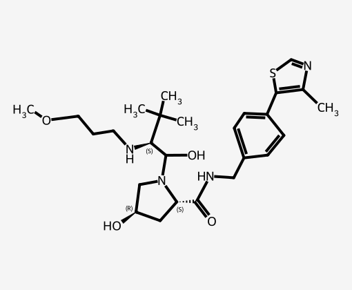 COCCCN[C@H](C(O)N1C[C@H](O)C[C@H]1C(=O)NCc1ccc(-c2scnc2C)cc1)C(C)(C)C